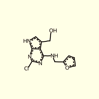 OCc1c[nH]c2nc(Cl)nc(NCc3ccco3)c12